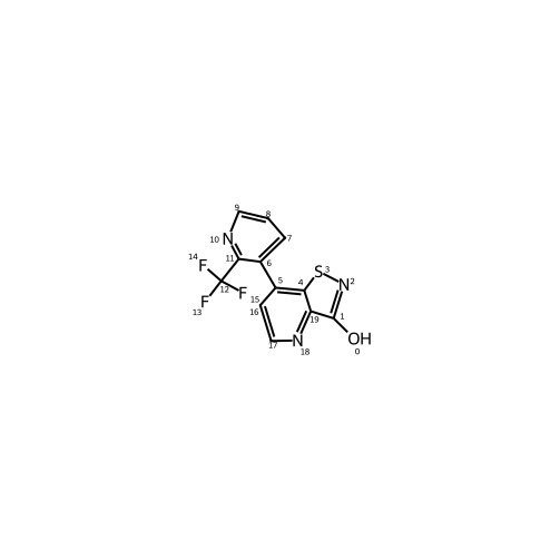 Oc1nsc2c(-c3cccnc3C(F)(F)F)ccnc12